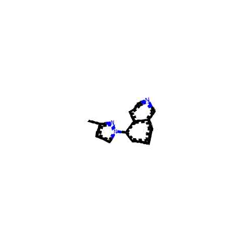 Cc1ccn(-c2cccc3cnccc23)n1